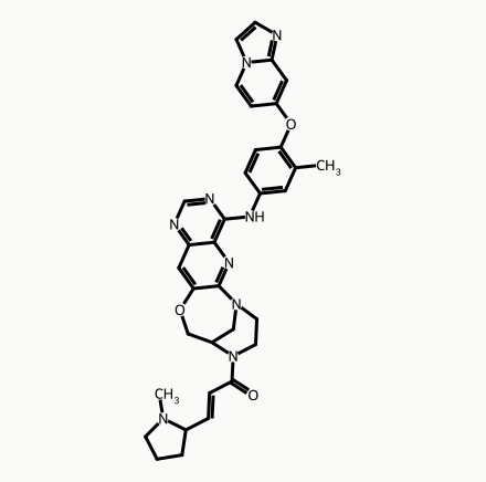 Cc1cc(Nc2ncnc3cc4c(nc23)N2CCN(C(=O)/C=C/C3CCCN3C)C(CO4)C2)ccc1Oc1ccn2ccnc2c1